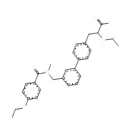 CCOc1ccc(C(=O)N(C)Cc2cccc(-c3ccc(CC(OCC)C(=O)O)cc3)c2)cc1